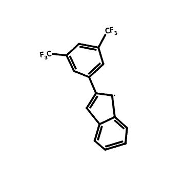 FC(F)(F)c1cc(C2=Cc3ccccc3[CH]2)cc(C(F)(F)F)c1